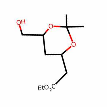 CCOC(=O)CC1CC(CO)OC(C)(C)O1